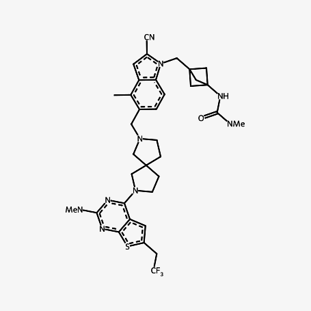 CNC(=O)NC12CC(Cn3c(C#N)cc4c(C)c(CN5CCC6(CCN(c7nc(NC)nc8sc(CC(F)(F)F)cc78)C6)C5)ccc43)(C1)C2